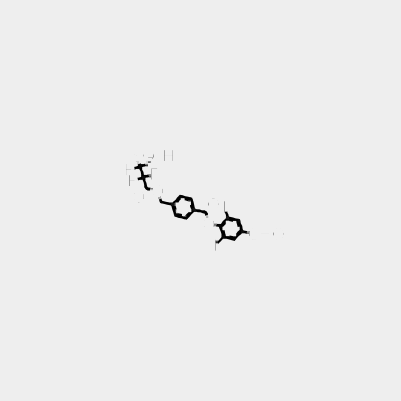 O=Cc1cc(I)c(OC(=O)c2ccc(COC(=O)C(F)(F)C(F)(F)S(=O)(=O)O)cc2)c(I)c1